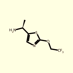 C[C@H](N)c1cnc(OCC(F)(F)F)s1